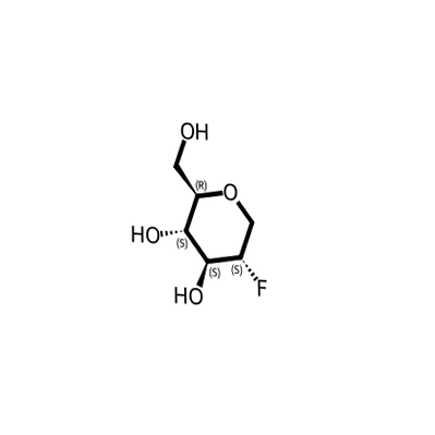 OC[C@H]1OC[C@H](F)[C@@H](O)[C@@H]1O